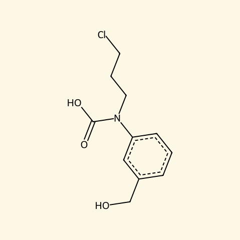 O=C(O)N(CCCCl)c1cccc(CO)c1